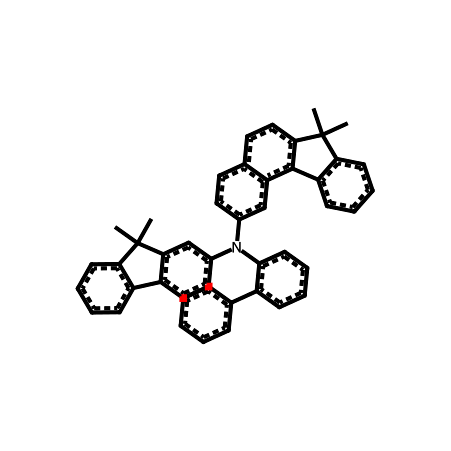 CC1(C)c2ccccc2-c2ccc(N(c3ccc4ccc5c(c4c3)-c3ccccc3C5(C)C)c3ccccc3-c3ccccc3)cc21